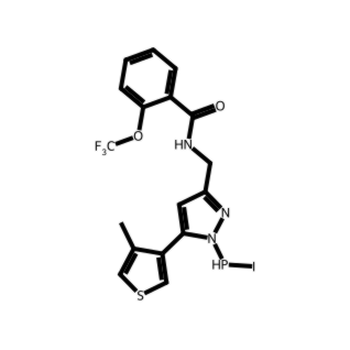 Cc1cscc1-c1cc(CNC(=O)c2ccccc2OC(F)(F)F)nn1PI